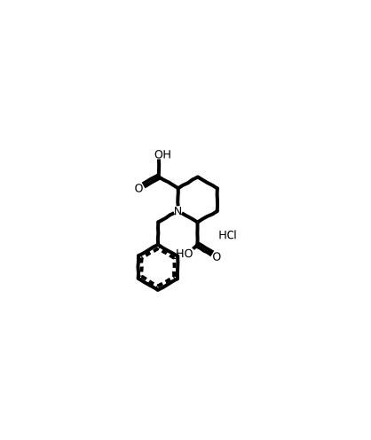 Cl.O=C(O)C1CCCC(C(=O)O)N1Cc1ccccc1